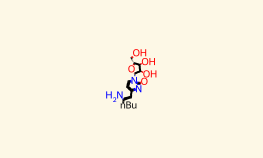 CCCCC(N)=Cc1ccn([C@@H]2O[C@H](CO)[C@@H](O)[C@H]2O)c(=O)n1